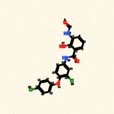 O=CNc1cccc(C(=O)Nc2ccc(Oc3ccc(Cl)cc3)c(Cl)c2)c1O